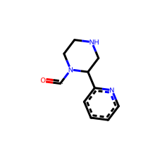 O=[C]N1CCNCC1c1ccccn1